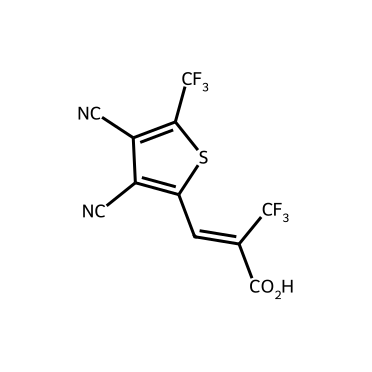 N#Cc1c(/C=C(/C(=O)O)C(F)(F)F)sc(C(F)(F)F)c1C#N